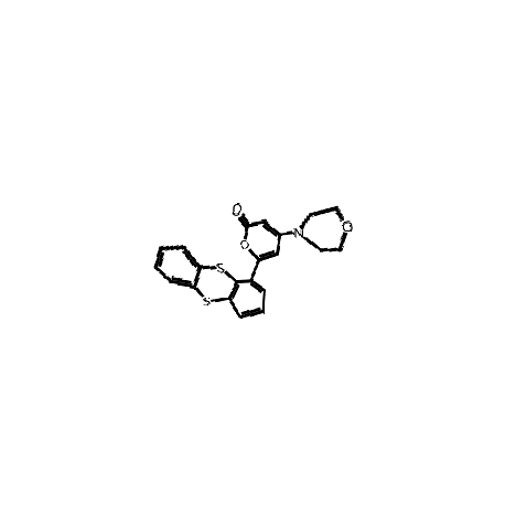 O=c1cc(N2CCOCC2)cc(-c2cccc3c2Sc2ccccc2S3)o1